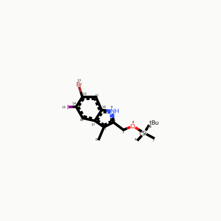 Cc1c(CO[Si](C)(C)C(C)(C)C)[nH]c2cc(Br)c(I)cc12